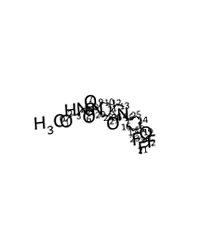 COCCNS(=O)(=O)N1CCC2(CCN(c3ccc(OC(F)(F)F)cc3)C2=O)CC1